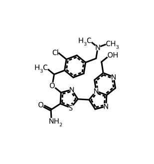 CC(Oc1nc(-c2cnc3cnc(CO)cn23)sc1C(N)=O)c1ccc(CN(C)C)cc1Cl